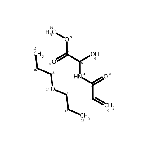 C=CC(=O)NC(O)C(=O)OC.CCCOCCC